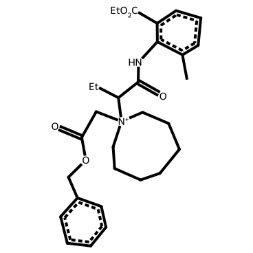 CCOC(=O)c1cccc(C)c1NC(=O)C(CC)[N+]1(CC(=O)OCc2ccccc2)CCCCCCC1